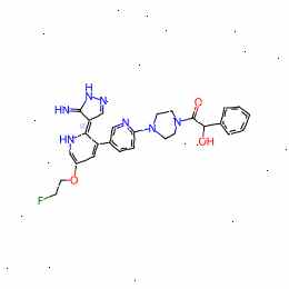 N=C1NN=C/C1=C1/NC=C(OCCF)C=C1c1ccc(N2CCN(C(=O)C(O)c3ccccc3)CC2)nc1